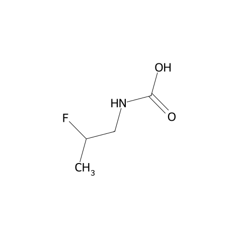 CC(F)CNC(=O)O